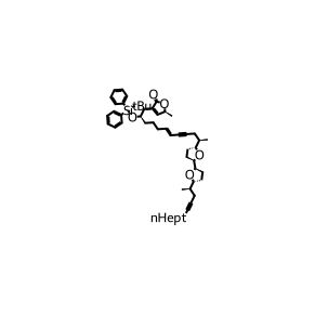 CCCCCCCC#CC[C@@H](C)[C@H]1CC[C@H]([C@H]2CC[C@H]([C@H](C)CC#C/C=C/CCC[C@H](CC3=C[C@H](C)OC3=O)O[Si](c3ccccc3)(c3ccccc3)C(C)(C)C)O2)O1